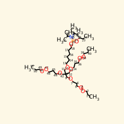 CCCOOCCCOCC(COCCCCCCOP(OCCC)N(C(C)C)C(C)C)(COCCCOOCCC)COCCCOOCCC